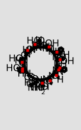 CCCC[C@H]1C(=O)N(C)[C@@H](CCCC)C(=O)N[C@@H](CCC(=O)O)C(=O)N[C@H](C(=O)NCC(N)=O)CSCC(=O)N[C@@H](Cc2ccc(O)cc2)C(=O)N(C)[C@@H](C)C(=O)N[C@@H](CC(=O)O)C(=O)N2CCC[C@H]2C(=O)N[C@@H](CN)C(=O)N[C@@H](CCC(=O)O)C(=O)N2C[C@H](O)C[C@H]2C(=O)N[C@@H](Cc2c[nH]c3ccccc23)C(=O)N[C@@H](CCC(=O)O)C(=O)N[C@@H](Cc2c[nH]c3ccccc23)C(=O)N1C